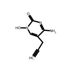 C#CCc1cn(O)c(=O)nc1N